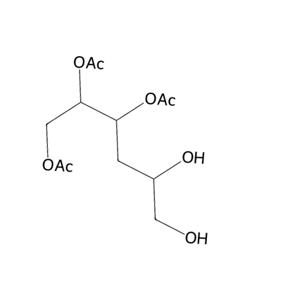 CC(=O)OCC(OC(C)=O)C(CC(O)CO)OC(C)=O